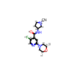 C[C@@H]1CN(c2cc(C(=O)NC3CCN(C#N)C3)c(F)cn2)C[C@H](C)O1